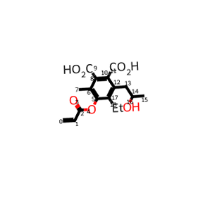 C=CC(=O)Oc1c(C)c(C(=O)O)c(C(=O)O)c(CC(C)O)c1CC